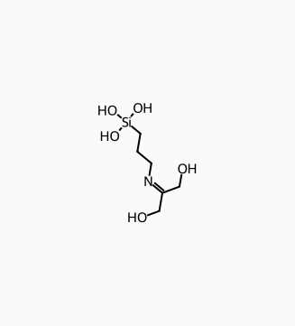 OCC(CO)=NCCC[Si](O)(O)O